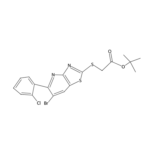 CC(C)(C)OC(=O)CSc1nc2nc(-c3ccccc3Cl)c(Br)cc2s1